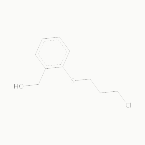 OCc1ccccc1SCCCCl